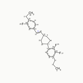 CCCc1ccc(C2CCC(/C=C/c3ccc(CC)c(F)c3)CC2)c(F)c1F